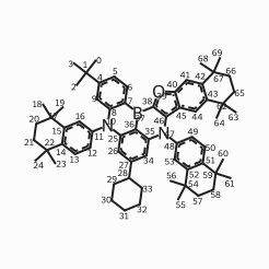 CC(C)(C)c1ccc2c(c1)N(c1ccc3c(c1)C(C)(C)CCC3(C)C)c1cc(C3CCCCC3)cc3c1B2c1oc2cc4c(cc2c1N3c1ccc2c(c1)C(C)(C)CCC2(C)C)C(C)(C)CCC4(C)C